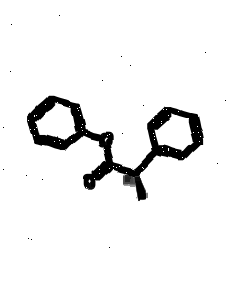 C[C@@H](C(=O)Oc1ccccc1)c1ccccc1